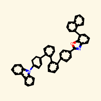 C1=C(c2ccccc2-c2ccccc2-c2ccc(-c3nc4cccc(-c5cccc6ccccc56)c4o3)cc2)CCC(n2c3ccccc3c3ccccc32)=C1